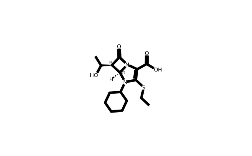 CCSC1=C(C(=O)O)N2C(=O)[C@H](C(C)O)[C@@H]2N1C1CCCCC1